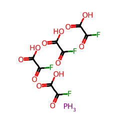 O=C(O)C(=O)F.O=C(O)C(=O)F.O=C(O)C(=O)F.O=C(O)C(=O)F.P